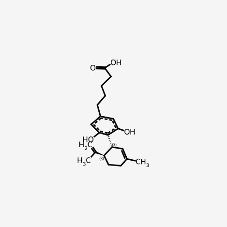 C=C(C)[C@@H]1CCC(C)=C[C@H]1c1c(O)cc(CCCCC(=O)O)cc1O